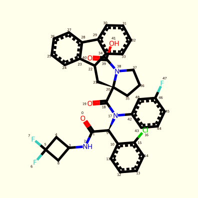 O=C(NC1CC(F)(F)C1)[C@H](c1ccccc1Cl)N(C(=O)[C@@]1(CC2c3ccccc3-c3ccccc32)CCCN1C(=O)O)c1cccc(F)c1